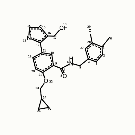 Cc1ccc(CNC(=O)c2cc(-c3ncsc3CO)ccc2OCC2CC2)cc1F